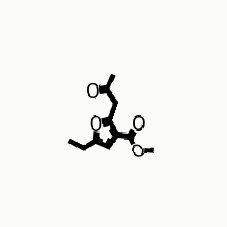 CCc1cc(C(=O)OC)c(CC(C)=O)o1